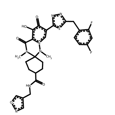 CN1C(=O)c2c(O)c(=O)c(-c3nnc(Cc4ccc(F)cc4F)s3)cn2N(C)C12CCC(C(=O)NCc1cnoc1)CC2